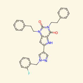 O=c1c2[nH]c(-c3cnn(Cc4ccccc4F)c3)cc2n(CCc2ccccc2)c(=O)n1CCc1ccccc1